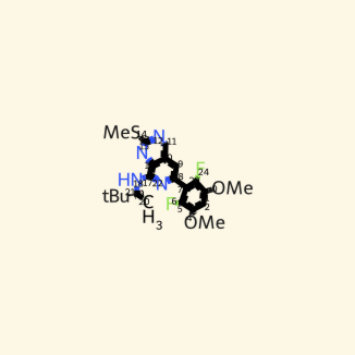 COc1cc(OC)c(F)c(-c2cc3cnc(SC)nc3c(N[C@H](C)C(C)(C)C)n2)c1F